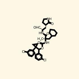 C[C@](CC1CCCCC1)(NC(=O)OC(c1cccc(Cl)c1)C1(c2cccc(Cl)c2)CC1)C(=O)N[C@H](C=O)C[C@@H]1CCNC1=O